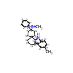 CNC1(c2ccccc2)CCC2(CCCc3c2[nH]c2ccc(C)cc32)CC1